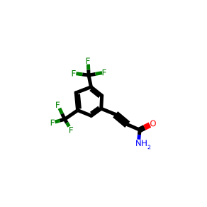 NC(=O)C#Cc1cc(C(F)(F)F)cc(C(F)(F)F)c1